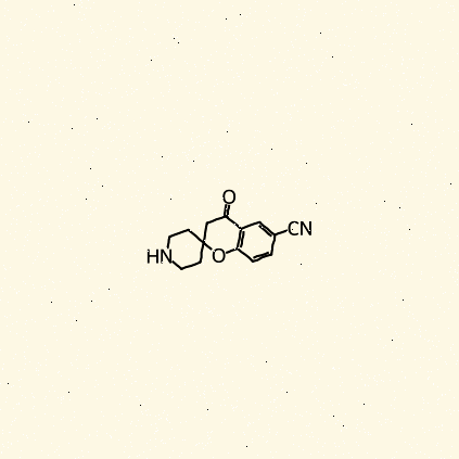 N#Cc1ccc2c(c1)C(=O)CC1(CCNCC1)O2